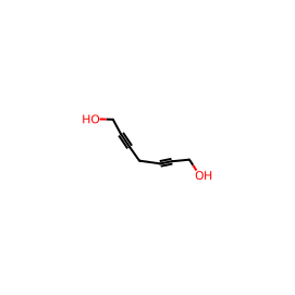 OCC#CCC#CCO